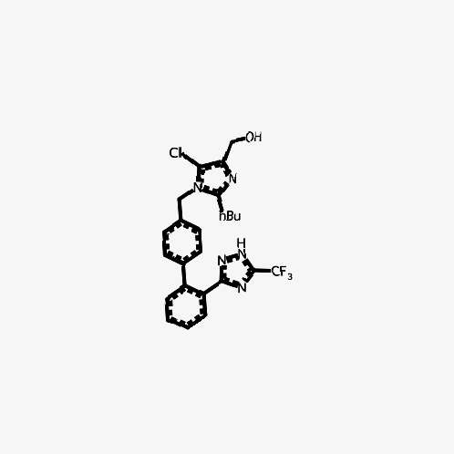 CCCCc1nc(CO)c(Cl)n1Cc1ccc(-c2ccccc2-c2n[nH]c(C(F)(F)F)n2)cc1